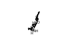 CCCCCOc1ccc(C(=O)NCc2cccc(CN3C(=N)NC(C)(CC(C)C)C3=O)c2)cc1